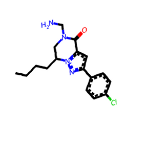 CCCCC1CN(CN)C(=O)c2cc(-c3ccc(Cl)cc3)nn21